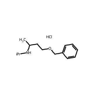 CC(C)NC(C)CCOCc1ccccc1.Cl